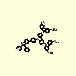 CC(C)(C)c1ccc2c(c1)c1cc(C(C)(C)C)ccc1n2-c1ccc2c(c1)c1cc(-n3c4ccc(C(C)(C)C)cc4c4cc(C(C)(C)C)ccc43)ccc1n2-c1ccc(-c2ccc3nc(-c4ccccc4)c(-c4ccccc4)n3c2)cc1